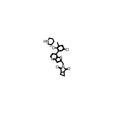 Cc1cc(Cl)cc(-c2ccnc3cc(CN4C(=O)C5CCC5C4=O)sc23)c1O[C@H]1CCCNC1